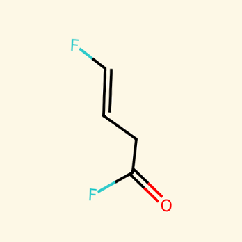 O=C(F)CC=CF